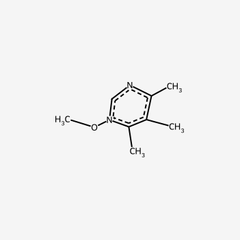 CO[n+]1cnc(C)c(C)c1C